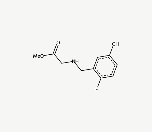 COC(=O)CNCc1cc(O)ccc1F